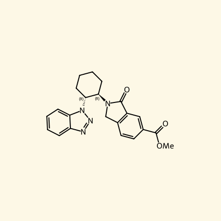 COC(=O)c1ccc2c(c1)C(=O)N([C@@H]1CCCC[C@H]1n1nnc3ccccc31)C2